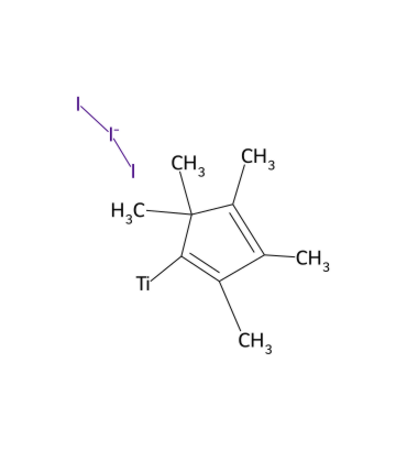 CC1=C(C)C(C)(C)[C]([Ti])=C1C.I[I-]I